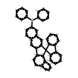 c1ccc(N(c2ccccc2)c2ccc3cc4c(cc3c2)C2(c3ccccc3-c3ccccc32)c2c-4ccc3ccccc23)cc1